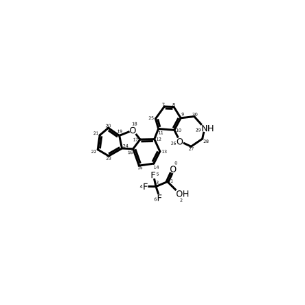 O=C(O)C(F)(F)F.c1cc2c(c(-c3cccc4c3oc3ccccc34)c1)OCCNC2